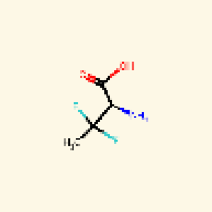 CC(F)(F)[C@H](N)C(=O)O